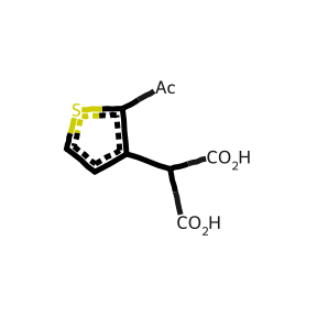 CC(=O)c1sccc1C(C(=O)O)C(=O)O